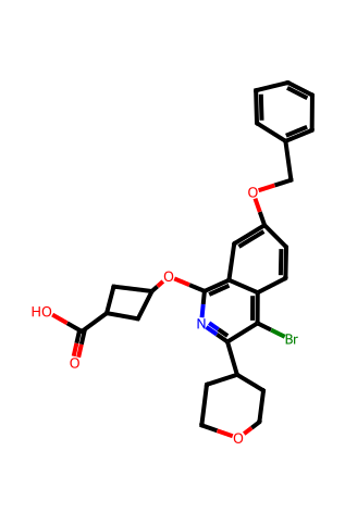 O=C(O)C1CC(Oc2nc(C3CCOCC3)c(Br)c3ccc(OCc4ccccc4)cc23)C1